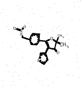 CC1(C)OC(c2ccc(C[SH](=O)=O)cc2)=C(c2ccsc2)C1=O